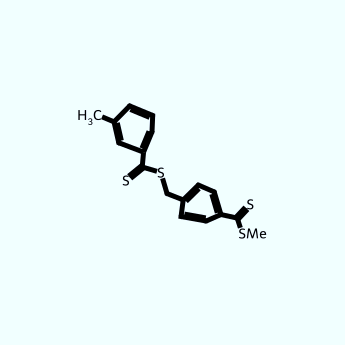 CSC(=S)c1ccc(CSC(=S)c2cccc(C)c2)cc1